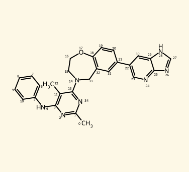 Cc1nc(Nc2ccccc2)c(C)c(N2CCOc3ccc(-c4cnc5nc[nH]c5c4)cc3C2)n1